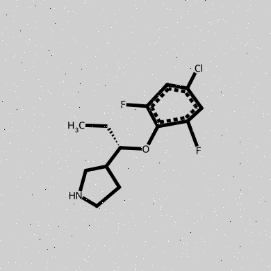 CC[C@H](Oc1c(F)cc(Cl)cc1F)C1CCNC1